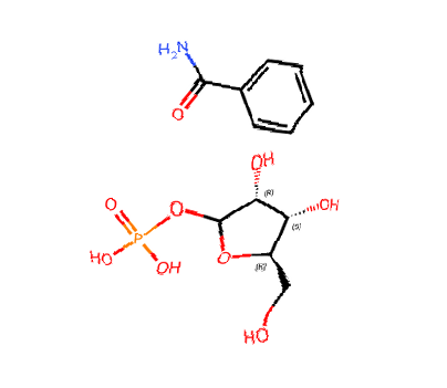 NC(=O)c1ccccc1.O=P(O)(O)OC1O[C@H](CO)[C@@H](O)[C@H]1O